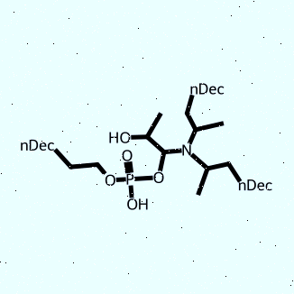 CCCCCCCCCCCCOP(=O)(O)OC(C(C)O)N(C(C)CCCCCCCCCCC)C(C)CCCCCCCCCCC